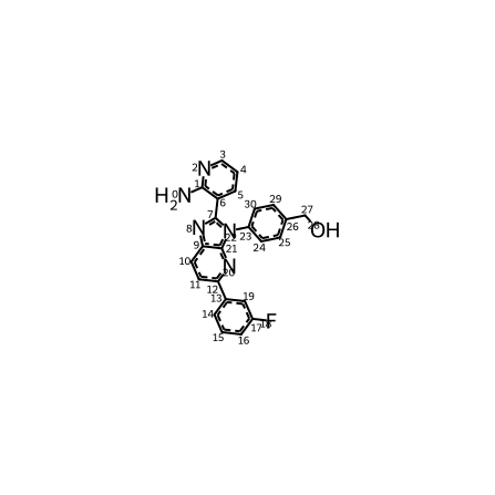 Nc1ncccc1-c1nc2ccc(-c3cccc(F)c3)nc2n1-c1ccc(CO)cc1